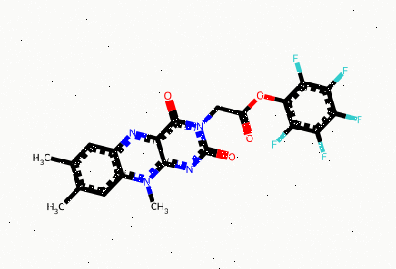 Cc1cc2nc3c(=O)n(CC(=O)Oc4c(F)c(F)c(F)c(F)c4F)c(=O)nc-3n(C)c2cc1C